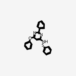 c1ccc(Oc2cc(NSc3ccccc3)nc(-c3ccccc3)n2)cc1